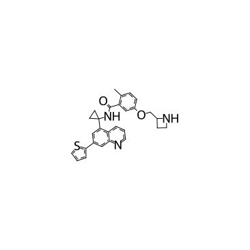 Cc1ccc(OCC2CCN2)cc1C(=O)NC1(c2cc(-c3cccs3)cc3ncccc23)CC1